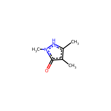 Cc1[nH]n(C)c(=O)c1C